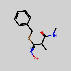 CNC(=O)C(C)/C(=N\O)SCc1ccccc1